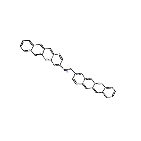 C(=C\c1ccc2cc3cc4ccccc4cc3cc2c1)/c1ccc2cc3cc4ccccc4cc3cc2c1